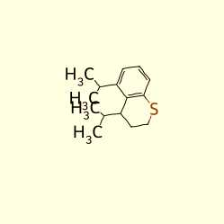 CC(C)c1cccc2c1C(C(C)C)CCS2